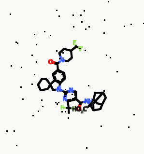 CC(F)(F)c1nc(N2CC3(CCCCC3)c3cc(C(=O)N4CCC(C(F)F)CC4)ccc32)ncc1C(=O)NC1(C(=O)O)C2CC3CC(C2)CC1C3